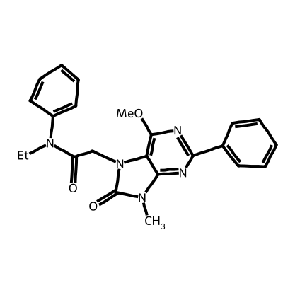 CCN(C(=O)Cn1c(=O)n(C)c2nc(-c3ccccc3)nc(OC)c21)c1ccccc1